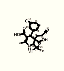 CC1=C(C(=O)O)C(c2cccc(Cl)c2)C(CCC#N)(C(=O)O)C(C(F)(F)F)N1